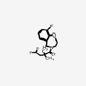 CC(C)(CC(F)F)C(=O)N1CCOc2c(F)cccc2C1